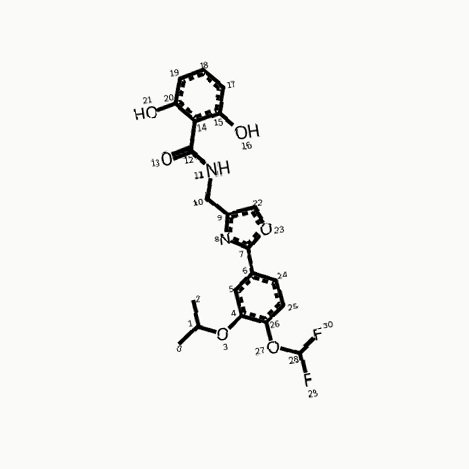 CC(C)Oc1cc(-c2nc(CNC(=O)c3c(O)cccc3O)co2)ccc1OC(F)F